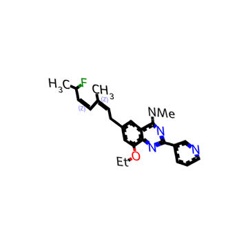 CCOc1cc(C/C=C(C)\C=C/C(C)F)cc2c(NC)nc(-c3cccnc3)nc12